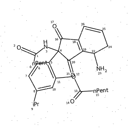 CCCCCC(=O)NC1(c2ccc(C(C)C)cc2OC(=O)CCCCC)C(=O)C2=C(C1=O)C(N)CC=C2